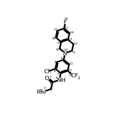 CC(C)(C)CC(=O)Nc1c(Cl)cc(N2CCc3cc(F)ccc3C2)cc1C(F)(F)F